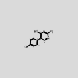 Clc1ccc(-c2nnc(Br)cc2Br)cc1